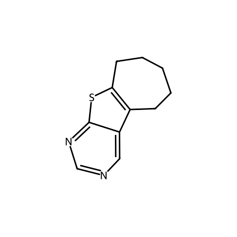 c1ncc2c3c(sc2n1)CCCCC3